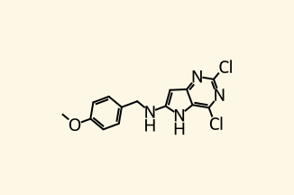 COc1ccc(CNc2cc3nc(Cl)nc(Cl)c3[nH]2)cc1